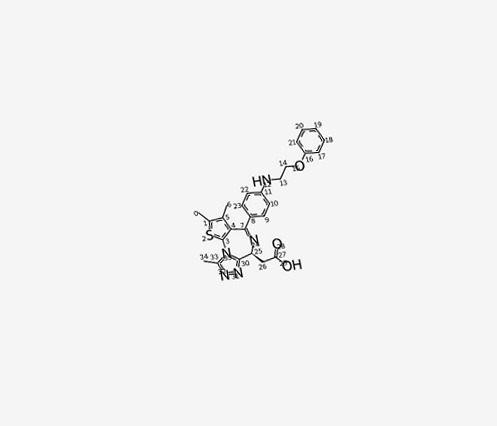 Cc1sc2c(c1C)C(c1ccc(NCCOc3ccccc3)cc1)=N[C@@H](CC(=O)O)c1nnc(C)n1-2